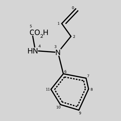 C=CCN(NC(=O)O)c1ccccc1